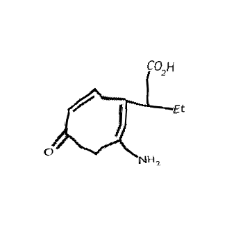 CCC(C(=O)O)C1=C(N)CC(=O)C=C1